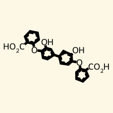 O=C(O)c1ccccc1Oc1ccc(-c2ccc(Oc3ccccc3C(=O)O)c(O)c2)cc1O